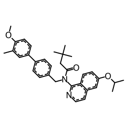 COc1ccc(-c2ccc(CN(C(=O)CC(C)(C)C)c3nccc4cc(OC(C)C)ccc34)cc2)cc1C